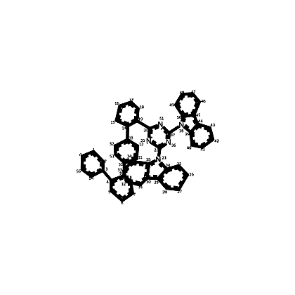 c1ccc(-c2ccccc2-c2ccc(-c3ccccc3-c3nc(-n4c5ccccc5c5ccccc54)nc(-n4c5ccccc5c5ccccc54)n3)cc2)cc1